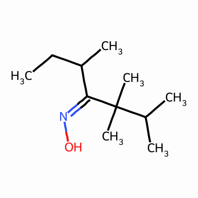 CCC(C)C(=NO)C(C)(C)C(C)C